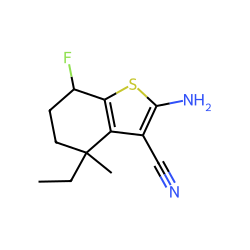 CCC1(C)CCC(F)c2sc(N)c(C#N)c21